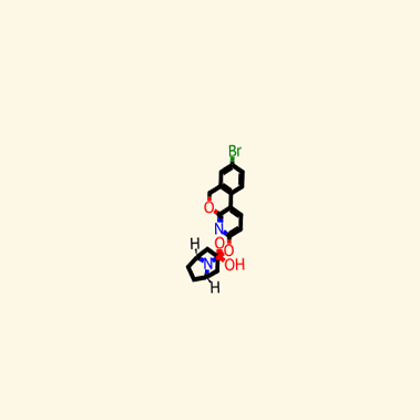 O=C(O)N1[C@@H]2CC[C@H]1CC(Oc1ccc3c(n1)OCc1cc(Br)ccc1-3)C2